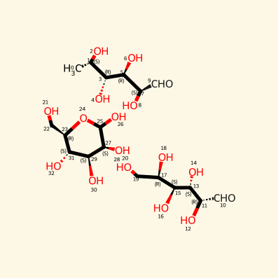 C[C@H](O)[C@@H](O)[C@@H](O)[C@H](O)C=O.O=C[C@H](O)[C@@H](O)[C@@H](O)[C@H](O)CO.OC[C@H]1OC(O)[C@@H](O)[C@@H](O)[C@@H]1O